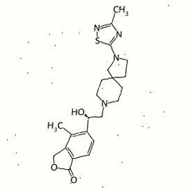 Cc1nsc(N2CCC3(CCN(C[C@H](O)c4ccc5c(c4C)COC5=O)CC3)C2)n1